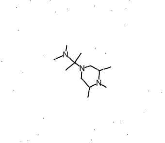 CC1CN(C(C)(C)N(C)C)CC(C)N1C